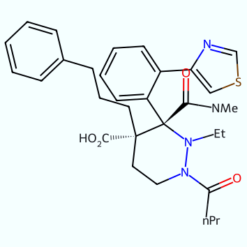 CCCC(=O)N1CC[C@](CCCc2ccccc2)(C(=O)O)[C@](C(=O)NC)(c2ccccc2-c2cscn2)N1CC